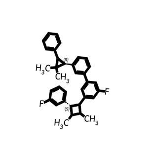 CC1C(C)[C@H](c2cccc(F)c2)C1c1cc(F)cc(-c2cccc([C@@H]3C(c4ccccc4)C3(C)C)c2)c1